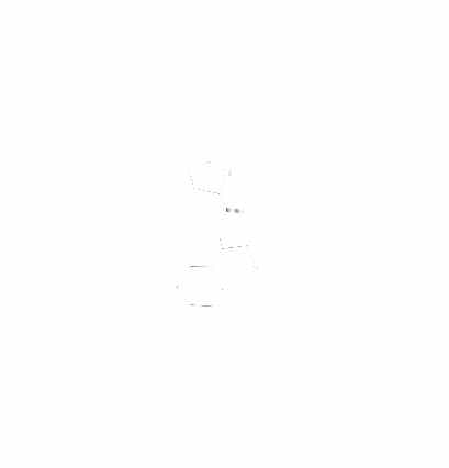 CC(N)C(OC(=O)C1CCCN1)C1CCCCC1